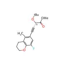 COC(=O)[C@H](C#Cc1cc(F)c2c(c1C)CCCO2)OC(C)(C)C